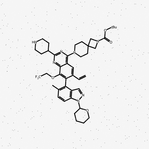 C=Cc1cc2c(N3CCC4(CC3)CN(C(=O)OC(C)(C)C)C4)nc(C3CCNCC3)nc2c(OCC(F)(F)F)c1-c1c(C)ccc2c1cnn2C1CCCCO1